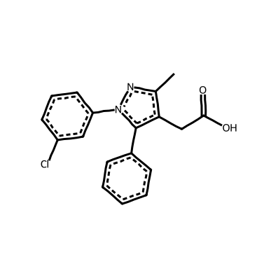 Cc1nn(-c2cccc(Cl)c2)c(-c2ccccc2)c1CC(=O)O